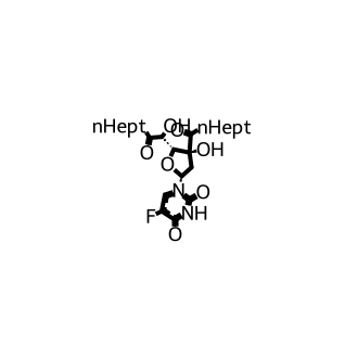 CCCCCCCC(=O)C(O)[C@H]1O[C@@H](n2cc(F)c(=O)[nH]c2=O)C[C@@]1(O)C(=O)CCCCCCC